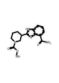 CC(C)(C)OC(=O)N1CCCC(c2nc3c(C(N)=O)cccc3[nH]2)C1